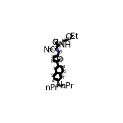 CCCN(CCC)c1ccc2cc(-c3ccc(/C=C(\C#N)C(=O)NCCOCC)o3)ccc2c1